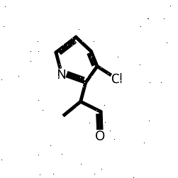 CC(C=O)c1ncccc1Cl